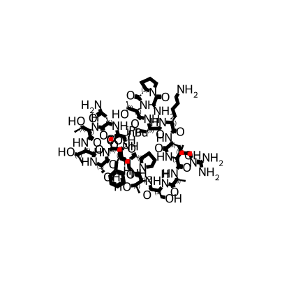 CCCC[C@H](NC(=O)[C@H](Cc1ccccc1)NC(=O)[C@@H]1CCCN1C(=O)[C@@H](NC(=O)[C@H](CO)NC(=O)[C@H](C)NC(=O)[C@@H](NC(=O)[C@H](CCCN=C(N)N)NC(=O)[C@H](CCCCN)NC(=O)[C@H](CC(C)C)NC(=O)[C@@H](NC(=O)[C@@H]1CCCN1C(=O)CN)[C@@H](C)O)[C@@H](C)O)[C@@H](C)O)C(=O)N[C@@H](CC(N)=O)C(=O)N[C@H](C(=O)N[C@H](C(=O)N[C@@H](CO)C(=O)N[C@@H](CCCCN)C(=O)O)[C@@H](C)O)[C@@H](C)O